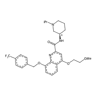 COCCOc1cc(C(=O)N[C@@H]2CCCN(C(C)C)C2)nc2c(OCc3ccc(C(F)(F)F)cc3)cccc12